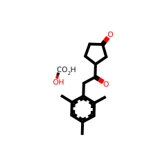 Cc1cc(C)c(CC(=O)C2CCC(=O)C2)c(C)c1.O=C(O)O